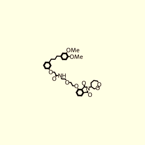 COc1ccc(CCCc2cccc(OCC(=O)NCCOCCOc3cccc4c3C(=O)N(C3CCCOOC3)C4=O)c2)cc1OC